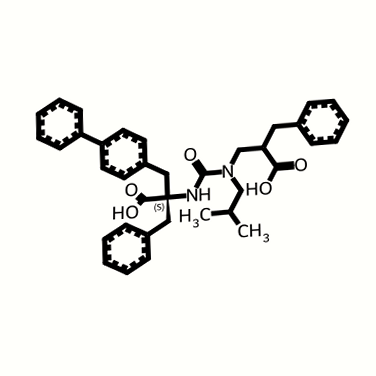 CC(C)CN(CC(Cc1ccccc1)C(=O)O)C(=O)N[C@@](Cc1ccccc1)(Cc1ccc(-c2ccccc2)cc1)C(=O)O